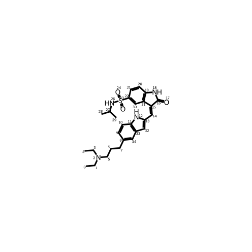 CCN(CC)CCCc1ccc2[nH]c(/C=C3/C(=O)Nc4ccc(S(=O)(=O)NC(C)C)cc43)cc2c1